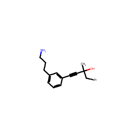 CC(C)CC(C)(O)C#Cc1cccc(CCCN)c1